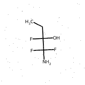 CCC(O)(F)C(N)(F)F